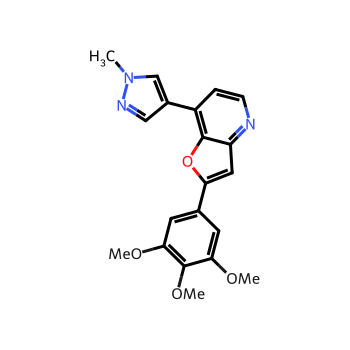 COc1cc(-c2cc3nccc(-c4cnn(C)c4)c3o2)cc(OC)c1OC